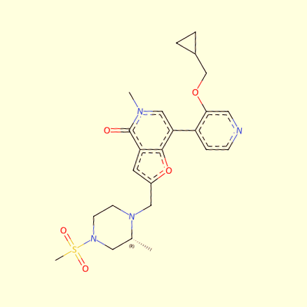 C[C@@H]1CN(S(C)(=O)=O)CCN1Cc1cc2c(=O)n(C)cc(-c3ccncc3OCC3CC3)c2o1